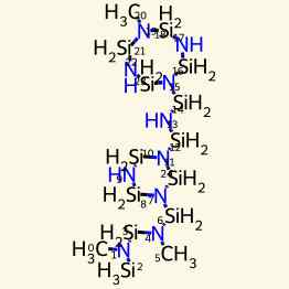 CN([SiH3])[SiH2]N(C)[SiH2]N1[SiH2]N[SiH2]N([SiH2]N[SiH2]N2[SiH2]N[SiH2]N(C)[SiH2]N[SiH2]2)[SiH2]1